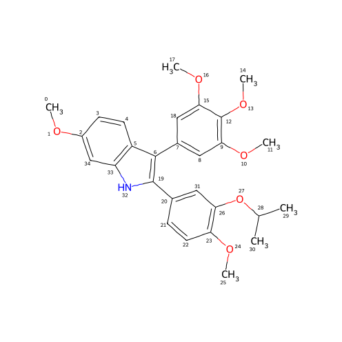 COc1ccc2c(-c3cc(OC)c(OC)c(OC)c3)c(-c3ccc(OC)c(OC(C)C)c3)[nH]c2c1